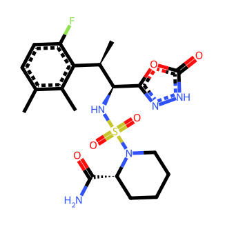 Cc1ccc(F)c([C@@H](C)[C@H](NS(=O)(=O)N2CCCC[C@@H]2C(N)=O)c2n[nH]c(=O)o2)c1C